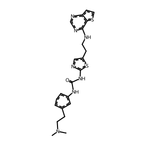 CN(C)CCc1cccc(NC(=O)Nc2ncc(CCNc3ncnc4ccsc34)s2)c1